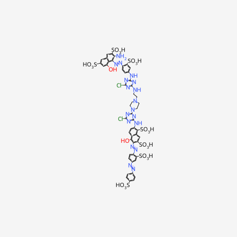 Nc1c(S(=O)(=O)O)cc2cc(S(=O)(=O)O)cc(O)c2c1/N=N/c1ccc(Nc2nc(Cl)nc(NCCN3CCN(c4nc(Cl)nc(Nc5ccc6c(O)c(/N=N/c7ccc(/N=N/c8ccc(S(=O)(=O)O)cc8)cc7S(=O)(=O)O)c(S(=O)(=O)O)cc6c5S(=O)(=O)O)n4)CC3)n2)cc1S(=O)(=O)O